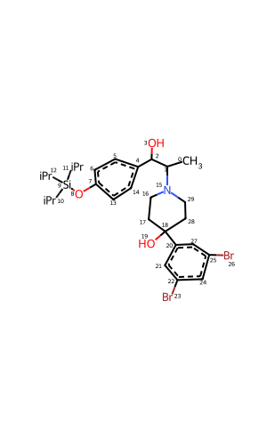 CC(C(O)c1ccc(O[Si](C(C)C)(C(C)C)C(C)C)cc1)N1CCC(O)(c2cc(Br)cc(Br)c2)CC1